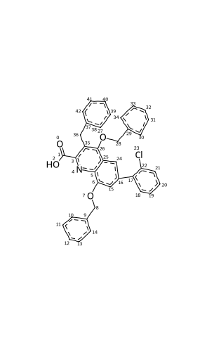 O=C(O)c1nc2c(OCc3ccccc3)cc(-c3ccccc3Cl)cc2c(OCc2ccccc2)c1Cc1ccccc1